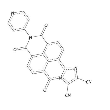 N#Cc1nc2c3ccc4c5c(ccc(c(=O)n2c1C#N)c53)C(=O)N(c1ccncc1)C4=O